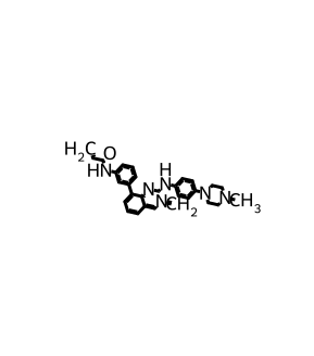 C=CC(=O)Nc1cccc(C2=CC=CC(=C/N=C)/C2=N\CNc2ccc(N3CCN(C)CC3)cc2)c1